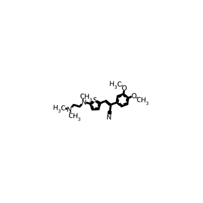 COc1ccc(C(C#N)=Cc2ccc(N(C)CCN(C)C)s2)cc1OC